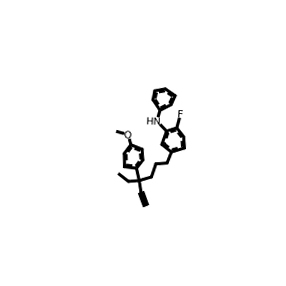 C#CC(CC)(CCCc1ccc(F)c(Nc2ccccc2)c1)c1ccc(OC)cc1